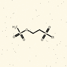 [CH2]CS(=O)(=O)CCOS(C)(=O)=O